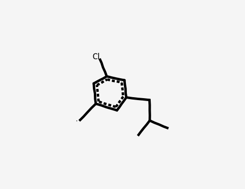 [CH2]c1cc(Cl)cc(CC(C)C)c1